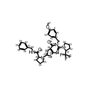 COc1ccc(Cn2c(N3CCCC3C(F)(F)F)nc3sc(N4CCCC4C(=O)NCc4ccccc4)nc3c2=O)cc1